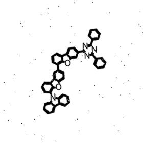 c1ccc(-c2nc(-c3ccccc3)nc(-c3ccc4c(c3)oc3c(-c5ccc6oc7c(-n8c9ccccc9c9ccccc98)cccc7c6c5)cccc34)n2)cc1